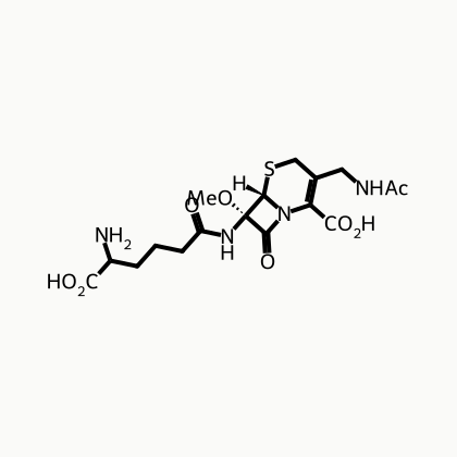 CO[C@@]1(NC(=O)CCCC(N)C(=O)O)C(=O)N2C(C(=O)O)=C(CNC(C)=O)CS[C@H]21